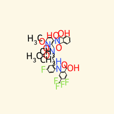 COc1ccc(N2C(=O)c3ccccc3C2(O)O)c(CN(CCCc2cc(F)ccc2Nc2cc(C(F)(F)F)c(F)cc2C(=O)O)C(=O)OC(C)(C)C)n1